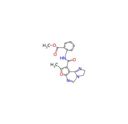 COC(=O)c1ccccc1NC(=O)c1c(C)oc2c1C1=NCCN1C=N2